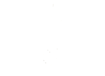 SCCc1ccc(CCOc2ncnc3ccccc23)cc1